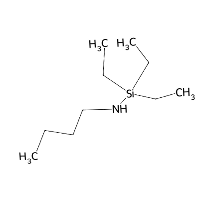 CCCCN[Si](CC)(CC)CC